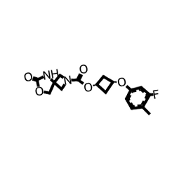 Cc1ccc(O[C@H]2C[C@@H](OC(=O)N3CC4(COC(=O)N4)C3)C2)cc1F